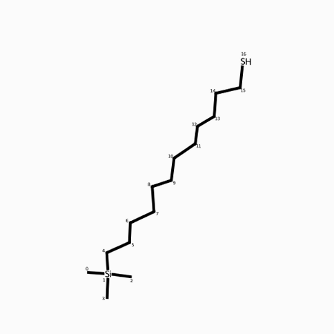 C[Si](C)(C)CCCCCCCCCCCCS